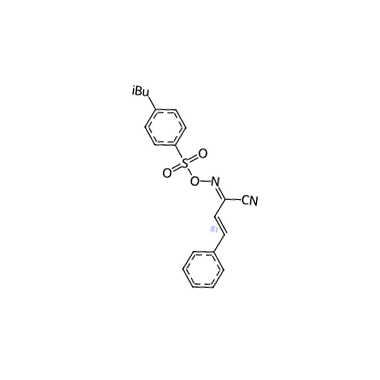 CCC(C)c1ccc(S(=O)(=O)ON=C(C#N)/C=C/c2ccccc2)cc1